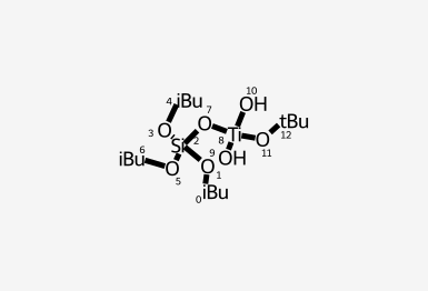 CCC(C)O[Si](OC(C)CC)(OC(C)CC)[O][Ti]([OH])([OH])[O]C(C)(C)C